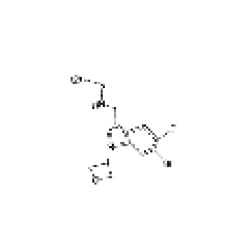 CC(C)(C)SNCc1cn(C2COC2)c2cc(Br)c(F)cc12